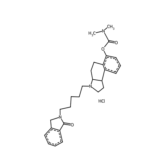 CN(C)C(=O)Oc1cccc2c1CCC1C2CCN1CCCCCN1Cc2ccccc2C1=O.Cl